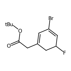 CC(C)(C)OC(=O)CC1=CC(Br)=CC(F)C1